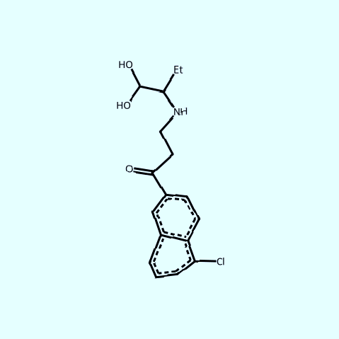 CCC(NCCC(=O)c1ccc2c(Cl)cccc2c1)C(O)O